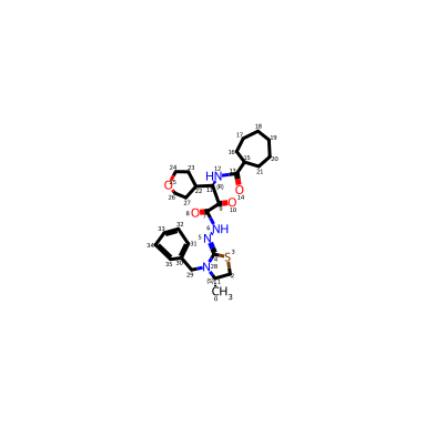 C[C@H]1CSC(=NNC(=O)C(=O)[C@H](NC(=O)C2CCCCCC2)C2CCOCC2)N1Cc1ccccc1